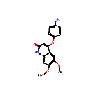 COc1cc2[nH]c(=O)cc(Oc3ccc(N)cc3)c2cc1OC